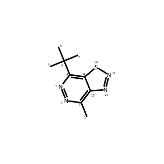 Cc1nnc(C(C)(C)C)c2snnc12